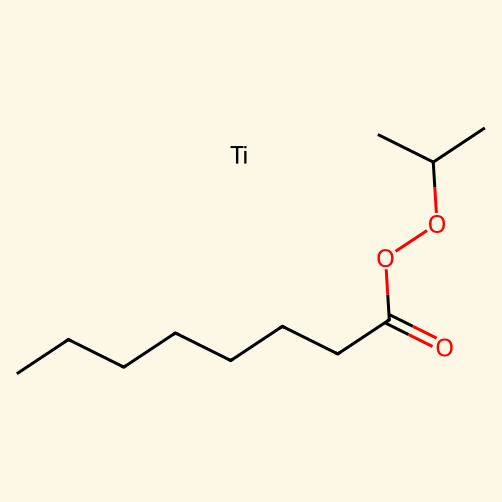 CCCCCCCC(=O)OOC(C)C.[Ti]